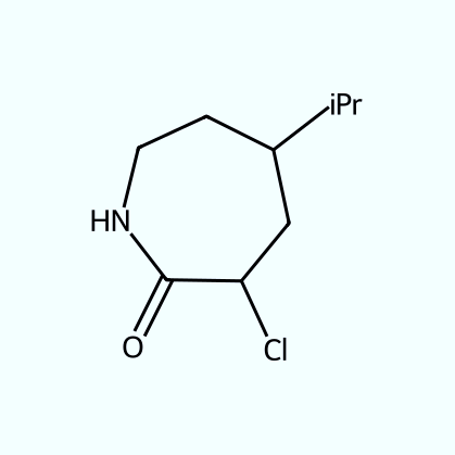 CC(C)C1CCNC(=O)C(Cl)C1